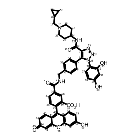 O=C(NCc1ccc(-c2c(C(=O)NC3CCN(CC4CC4)CC3)nnn2-c2ccc(O)cc2O)cc1)c1ccc(-c2c3ccc(=O)cc-3oc3cc(O)ccc23)c(C(=O)O)c1